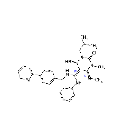 C/N=C1/C(=C(/NCc2ccc(-c3ccccn3)cc2)Nc2ccccc2)C(=N)N(CC(C)C)C(=O)N1C